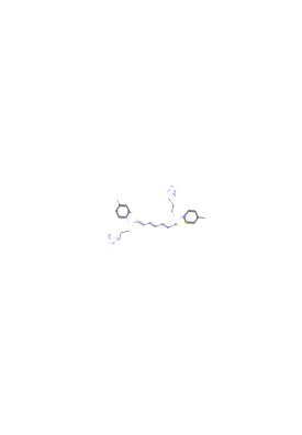 CC[N+](CC)(CC)CCCN1/C(=C/C=C/C=C/c2sc3cc(C)ccc3[n+]2CCC[N+](CC)(CC)CC)Sc2cc(C)ccc21